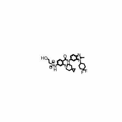 Cc1nc2ccc(NC(=O)c3ccc(NS(=O)(=O)CCO)cc3N3CCC4(CC3)CC4)cc2n1C1CCC(F)(F)CC1